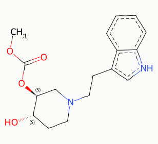 COC(=O)O[C@H]1CN(CCc2c[nH]c3ccccc23)CC[C@@H]1O